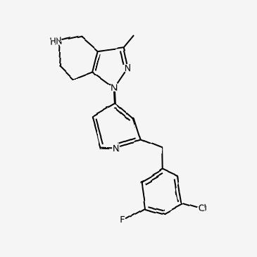 Cc1nn(-c2ccnc(Cc3cc(F)cc(Cl)c3)c2)c2c1CNCC2